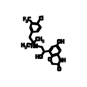 CC(C)(Cc1ccc(Cl)c(C(F)(F)F)c1)NCC(O)c1cc(O)cc2c1OCC(=O)N2